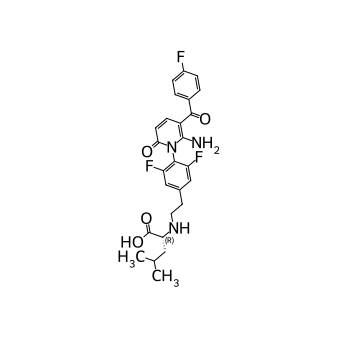 CC(C)C[C@@H](NCCc1cc(F)c(-n2c(N)c(C(=O)c3ccc(F)cc3)ccc2=O)c(F)c1)C(=O)O